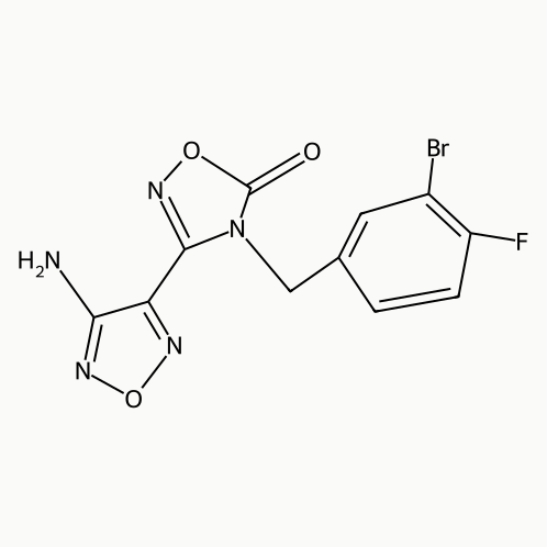 Nc1nonc1-c1noc(=O)n1Cc1ccc(F)c(Br)c1